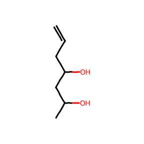 C=CCC(O)CC(C)O